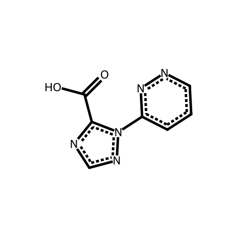 O=C(O)c1ncnn1-c1cccnn1